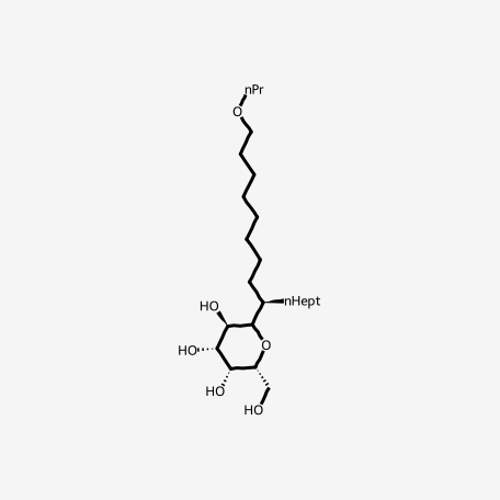 [CH2]CCOCCCCCCCC[C@@H](CCCCCCC)C1O[C@H](CO)[C@H](O)[C@H](O)[C@H]1O